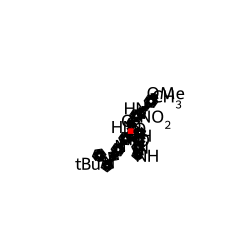 COC1(C)CCC(CNc2ccc(S(=O)(=O)NC(=O)c3ccc(N4CCC5(CC4)CC(N4CCC[C@H]4c4ccccc4C(C)(C)C)C5)cc3N3c4cc5cc[nH]c5nc4O[C@H]4COC[C@@H]43)cc2[N+](=O)[O-])CC1